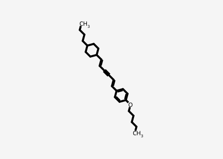 CCCCCOc1ccc(C=CC#CC=CC2CCC(CCCC)CC2)cc1